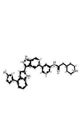 CC(=O)c1ccc(-c2cccc3[nH]c(-c4n[nH]c5cnc(-c6cncc(NC(=O)CC7CCNCC7)c6)cc45)cc23)s1